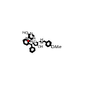 COc1ccc(CNC[C@H]2O[C@@](C(c3ccccc3)c3ccccc3)(n3cnc4c(O)ncnc43)C[C@@H]2O)cc1